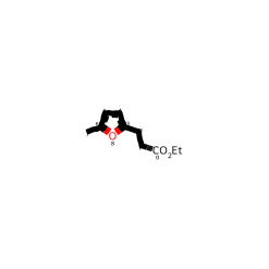 CCOC(=O)CCc1ccc(C)o1